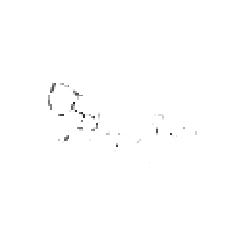 N#Cc1sc(NC(=O)C2CCC[C@@H](C(=O)O)C2)nc1-c1ccccc1